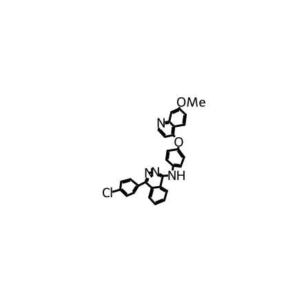 COc1ccc2c(Oc3ccc(Nc4nnc(-c5ccc(Cl)cc5)c5ccccc45)cc3)ccnc2c1